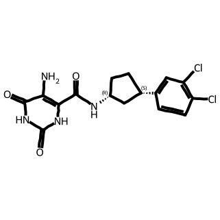 Nc1c(C(=O)N[C@@H]2CC[C@H](c3ccc(Cl)c(Cl)c3)C2)[nH]c(=O)[nH]c1=O